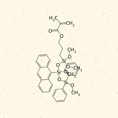 C=C(C)C(=O)OCCC[Si](OC)(OC)O[Si](OC)(O[Si](OC)(c1ccccc1)c1ccccc1)c1c2ccccc2cc2ccccc12